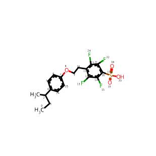 CCC(C)c1ccc(OCCc2c(F)c(F)c(S(=O)(=O)O)c(F)c2F)cc1